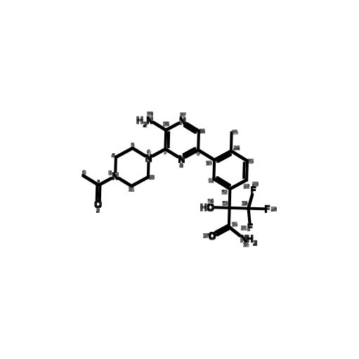 CC(=O)N1CCN(c2nc(-c3cc(C(O)(C(N)=O)C(F)(F)F)ccc3C)cnc2N)CC1